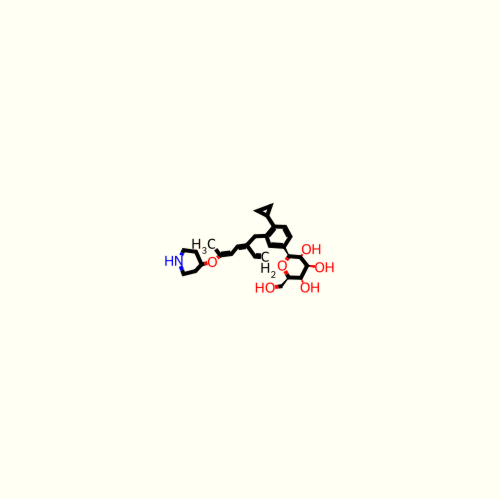 C=C/C(=C\C=C(/C)OC1CCNCC1)Cc1cc([C@@H]2O[C@H](CO)[C@@H](O)[C@H](O)[C@H]2O)ccc1C1CC1